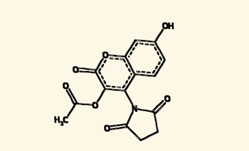 CC(=O)Oc1c(N2C(=O)CCC2=O)c2ccc(O)cc2oc1=O